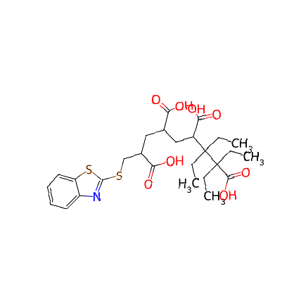 CCC(CC)(C(=O)O)C(CC)(CC)C(CC(CC(CSc1nc2ccccc2s1)C(=O)O)C(=O)O)C(=O)O